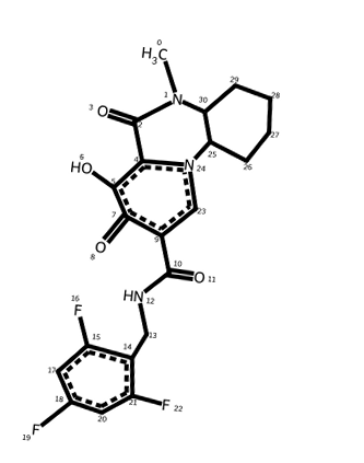 CN1C(=O)c2c(O)c(=O)c(C(=O)NCc3c(F)cc(F)cc3F)cn2C2CCCCC21